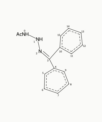 CC(=O)NNN=C(c1ccccc1)c1ccccc1